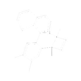 Cc1cc2c(cc1C)C1(C)C=CC1(C)[n+]1ccc3ccccc3c1-2